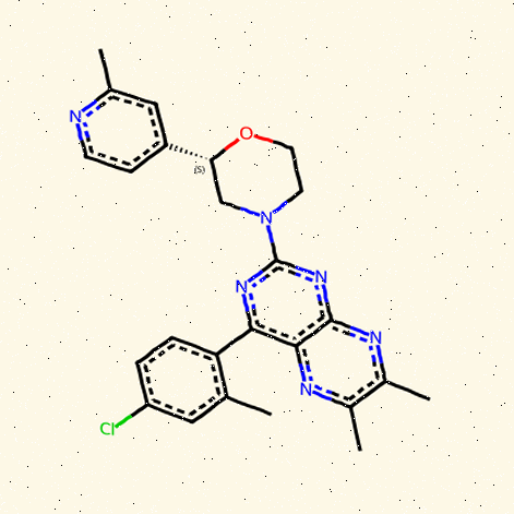 Cc1cc([C@H]2CN(c3nc(-c4ccc(Cl)cc4C)c4nc(C)c(C)nc4n3)CCO2)ccn1